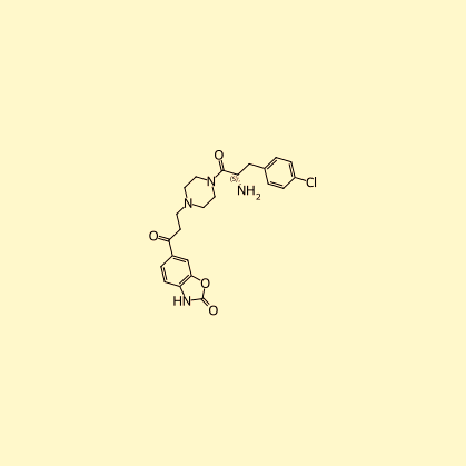 N[C@@H](Cc1ccc(Cl)cc1)C(=O)N1CCN(CCC(=O)c2ccc3[nH]c(=O)oc3c2)CC1